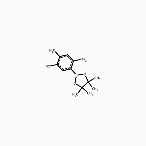 Cc1cc(N)c(B2OC(C)(C)C(C)(C)O2)cc1C#N